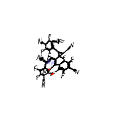 CC1(C(/C=C(/C#N)c2c(F)c(F)c(C#N)c(F)c2F)=C(/C#N)c2c(F)c(F)c(C#N)c(F)c2F)C(C#N)C1c1c(F)c(F)c(C#N)c(F)c1F